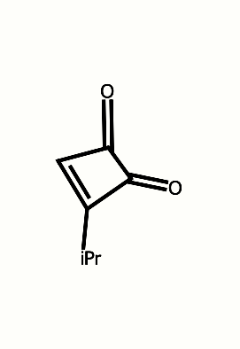 CC(C)c1cc(=O)c1=O